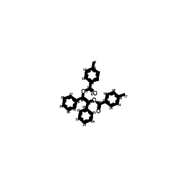 Cc1ccc(C(=O)OC(=C(OC(=O)c2ccc(C)cc2)c2ccccc2)c2ccccc2)cc1